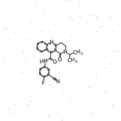 CC(C)N1CCc2nc3ccccc3c(C(=O)Nc3ccc(F)c(C#N)c3)c2C1=O